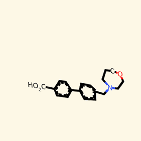 O=C(O)c1ccc(-c2ccc(CN3CCCOCC3)cc2)cc1